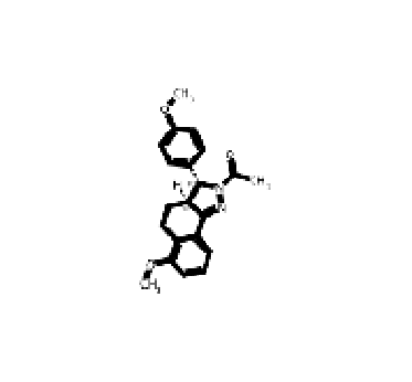 COc1ccc([C@H]2[C@@H]3CCc4c(OC)cccc4C3=NN2C(C)=O)cc1